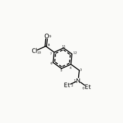 CCN(CC)Cc1ccc(C(=O)Cl)cc1